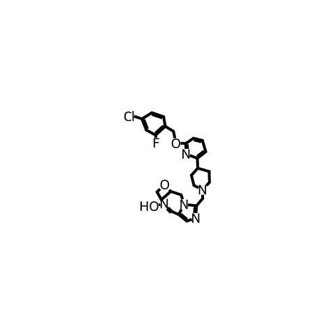 ON=Cc1cnc(CN2CCC(c3cccc(OCc4ccc(Cl)cc4F)n3)CC2)n1CC1CCO1